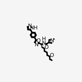 CCC(=O)CCCCC[C@H](NC(=O)C1CN(C)C1)c1ncc(-c2ccc(-c3ccn[nH]3)cc2)o1